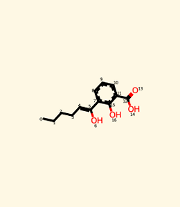 CCCC/C=C(\O)c1cccc(C(=O)O)c1O